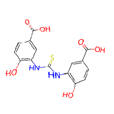 O=C(O)c1ccc(O)c(NC(=S)Nc2cc(C(=O)O)ccc2O)c1